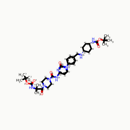 CC(C)(C)OC(=O)NC(C)(C)C(=O)N1CCN(C(=O)Nc2ccn(-c3ccc(CN[C@H]4CC[C@@H](NC(=O)OC(C)(C)C)CC4)cc3)c(=O)n2)CC1